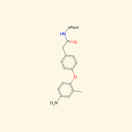 CCCCCNC(=O)Cc1ccc(Oc2ccc([N+](=O)[O-])cc2C)cc1